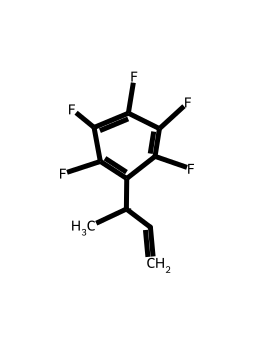 C=C[C](C)c1c(F)c(F)c(F)c(F)c1F